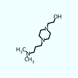 CN(C)CCCN1CCN(CCO)CC1